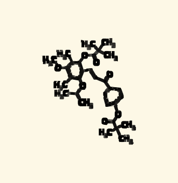 COc1c(C)c(OC(=O)C(C)(C)C)c(C=CC(=O)c2ccc(OC(=O)C(C)(C)C)cc2)c(OC(C)C)c1C